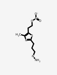 Cc1nc(CCC[N]N)sc1CCO[N+](=O)[O-]